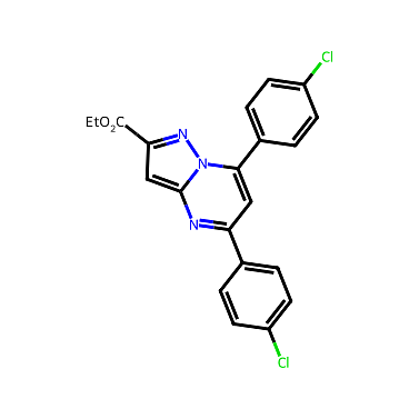 CCOC(=O)c1cc2nc(-c3ccc(Cl)cc3)cc(-c3ccc(Cl)cc3)n2n1